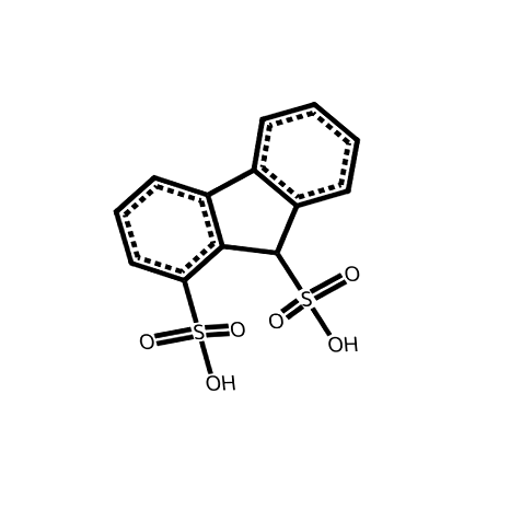 O=S(=O)(O)c1cccc2c1C(S(=O)(=O)O)c1ccccc1-2